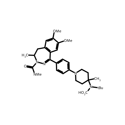 CNC(=O)N1N=C(c2ccc(N3CCC(C)(N(C(=O)O)C(C)(C)C)CC3)cc2)c2cc(OC)c(OC)cc2CC1C